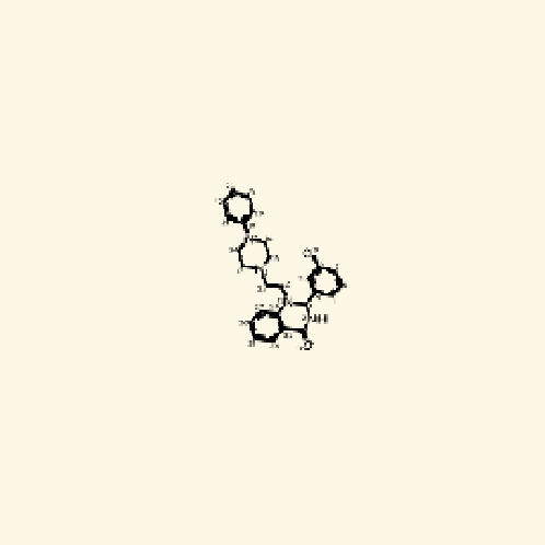 O=C1NC(c2cccc(Cl)c2)N(CCN2CCN(c3ccccc3)CC2)c2ccccc21